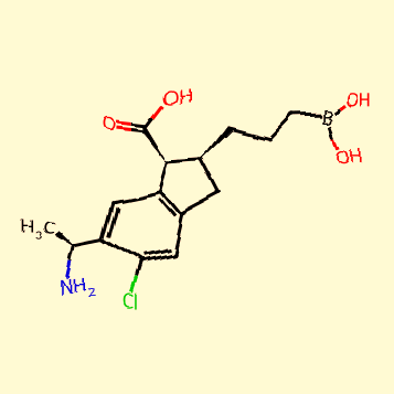 C[C@H](N)c1cc2c(cc1Cl)C[C@H](CCCB(O)O)[C@@H]2C(=O)O